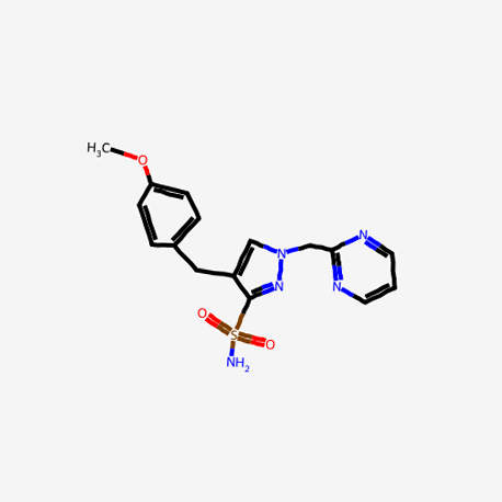 COc1ccc(Cc2cn(Cc3ncccn3)nc2S(N)(=O)=O)cc1